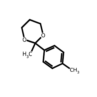 Cc1ccc(C2(C)OCCCO2)cc1